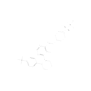 O=S(=O)(N1CCC(CNc2ncnc(N3CCOCC3c3ccc(C(F)(F)F)cc3)c2F)CC1)C(F)(F)F